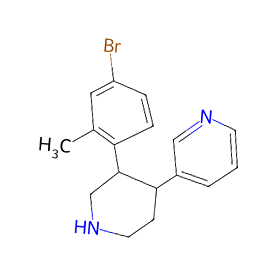 Cc1cc(Br)ccc1C1CNCCC1c1cccnc1